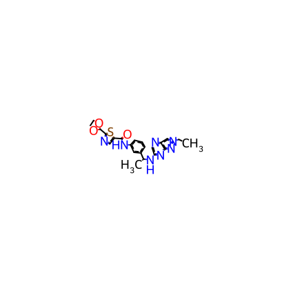 CCn1cc2ncc(N[C@@H](C)c3cccc(NC(=O)c4cnc(C5OCCO5)s4)c3)nc2n1